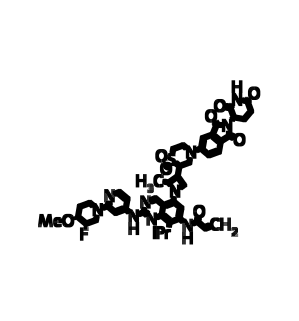 C=CC(=O)Nc1cc(N2CC(C3CN(c4ccc5c(c4)C(=O)N(C4CCC(=O)NC4=O)C5=O)CCS3(=O)=O)C2C)c2cnc(Nc3ccnc(N4CC[C@@H](OC)[C@@H](F)C4)c3)nc2c1C(C)C